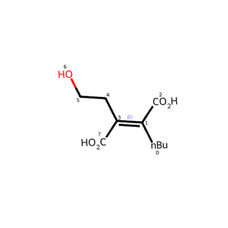 CCCC/C(C(=O)O)=C(/CCO)C(=O)O